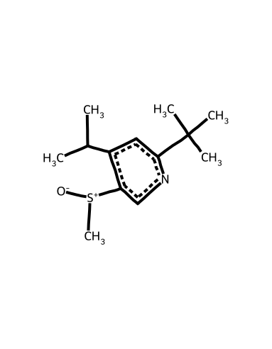 CC(C)c1cc(C(C)(C)C)ncc1[S+](C)[O-]